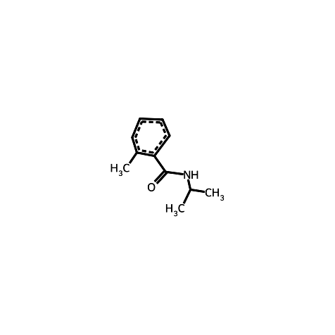 Cc1ccccc1C(=O)NC(C)C